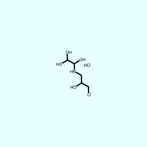 Cl.OC(CCl)CNC(O)C(O)O